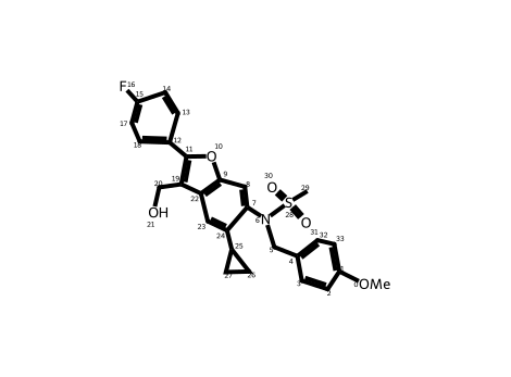 COc1ccc(CN(c2cc3oc(-c4ccc(F)cc4)c(CO)c3cc2C2CC2)S(C)(=O)=O)cc1